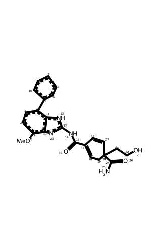 COc1ccc(-c2ccccc2)c2[nH]c(NC(=O)C3=CCC(CCO)(C(N)=O)C=C3)nc12